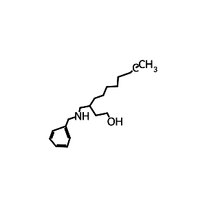 CCCCCCCCC(CCO)CNCc1ccccc1